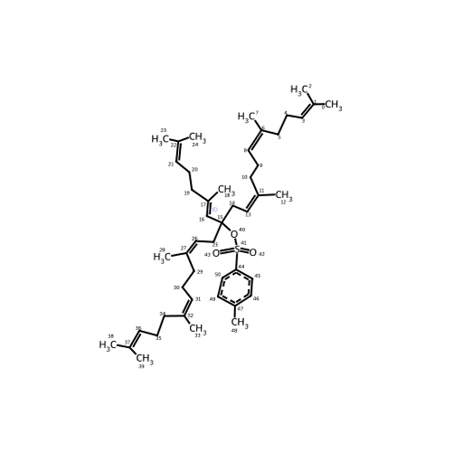 CC(C)=CCCC(C)=CCCC(C)=CCC(/C=C(\C)CCC=C(C)C)(CC=C(C)CCC=C(C)CCC=C(C)C)OS(=O)(=O)c1ccc(C)cc1